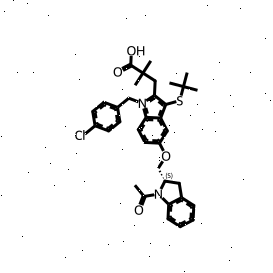 CC(=O)N1c2ccccc2C[C@H]1COc1ccc2c(c1)c(SC(C)(C)C)c(CC(C)(C)C(=O)O)n2Cc1ccc(Cl)cc1